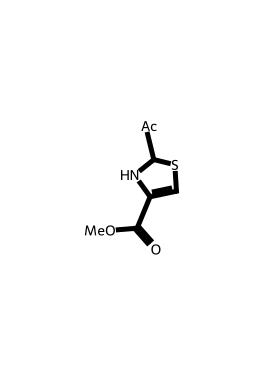 COC(=O)C1=CSC(C(C)=O)N1